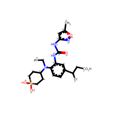 CCC(CC(=O)O)c1ccc(N(CC(C)C)C2CCS(O)(O)CC2)c(NC(=O)Nc2cc(C)on2)c1